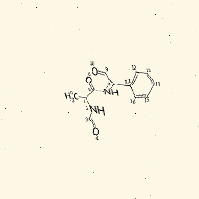 CC(NC=O)C(=O)NC(C=O)c1ccccc1